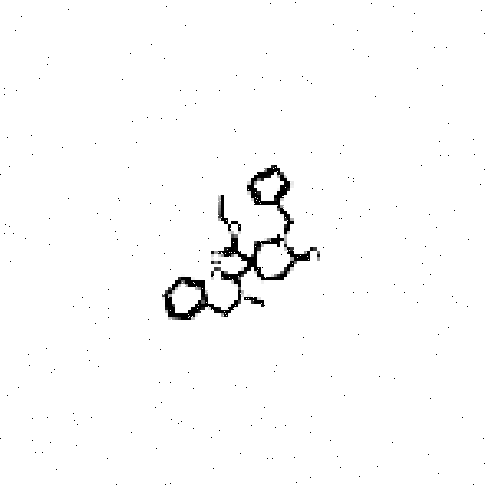 CCOC(=O)C1(C(=O)N(C)Cc2ccccc2)CCC(=O)N(Cc2ccccc2)C1